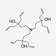 C=CCC(O)(CC=C)CCN(CCC(O)(CC=C)CC=C)CCC(O)(CC=C)CC=C